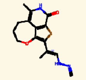 C=NN/C=C(\C)c1sc2c(=O)[nH]c(C)c3c2c1OCCC3